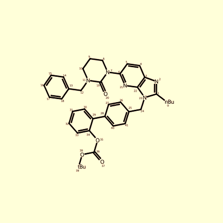 CCCCc1nc2ccc(N3CCCN(Cc4ccccc4)C3=O)nc2n1Cc1ccc(-c2ccccc2OC(=O)OC(C)(C)C)cc1